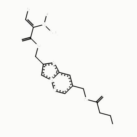 CC(C)N(N)/C(=C\N)C(=O)NCc1cn2ncc(CNC(=O)CCC(F)(F)F)cc2n1